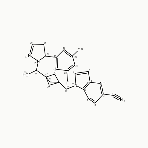 N#Cc1ccc2c(ccn2CC23CC(C(O)N4N=CCC4c4cc(F)cc(F)c4)(C2)C3)n1